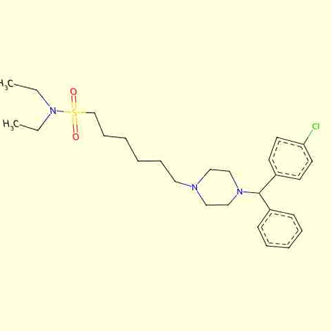 CCN(CC)S(=O)(=O)CCCCCCN1CCN(C(c2ccccc2)c2ccc(Cl)cc2)CC1